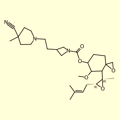 COC1C(OC(=O)N2CC(CCN3CCC(C)(C#N)CC3)C2)CCC2(CO2)C1[C@@]1(C)O[C@@H]1CC=C(C)C